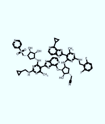 Cc1nc(NCC2CC2)nc(N[C@@H]2C[C@H](CS(=O)(=O)c3ccncc3)[C@@H](O)[C@H]2O)c1-c1nc2c(O[C@H]3C(Nc4nc(NCc5c(F)cccc5F)nc(C)c4-c4nc5c(C6CC6)nccc5s4)C[C@H](CC#N)[C@H]3O)nccc2s1